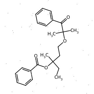 CCC(C)(CCOC(C)(C)C(=O)c1ccccc1)OC(=O)c1ccccc1